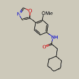 COc1cc(NC(=O)CC2CCCCC2)ccc1-c1cnco1